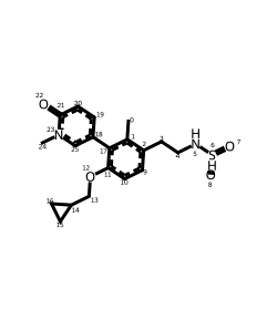 Cc1c(CCN[SH](=O)=O)ccc(OCC2CC2)c1-c1ccc(=O)n(C)c1